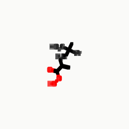 C=C(C)C(=O)OO.CC(C)[C](C)([BiH2])C(=O)O